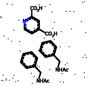 CC(=O)NCc1ccccc1.CC(=O)NCc1ccccc1.O=C(O)c1ccnc(C(=O)O)c1